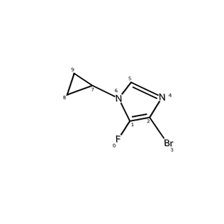 Fc1c(Br)ncn1C1CC1